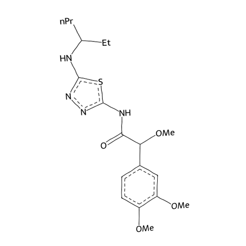 CCCC(CC)Nc1nnc(NC(=O)C(OC)c2ccc(OC)c(OC)c2)s1